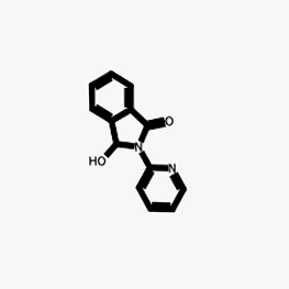 O=C1c2ccccc2C(O)N1c1ccccn1